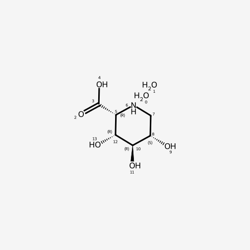 O.O.O=C(O)[C@@H]1NC[C@H](O)[C@@H](O)[C@@H]1O